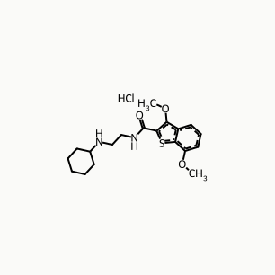 COc1c(C(=O)NCCNC2CCCCC2)sc2c(OC)cccc12.Cl